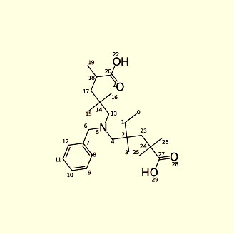 CCC(C)(CN(Cc1ccccc1)CC(C)(C)CC(C)C(=O)O)CC(C)(C)C(=O)O